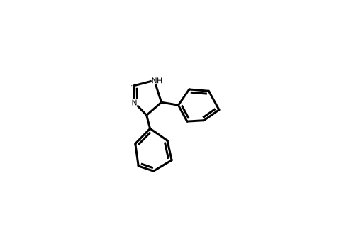 [C]1=NC(c2ccccc2)C(c2ccccc2)N1